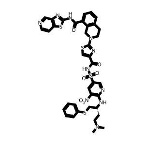 CN(C)CC[C@H](CSc1ccccc1)Nc1ncc(S(=O)(=O)NC(=O)c2csc(N3CCc4cccc(C(=O)Nc5nc6cnccc6s5)c4C3)n2)cc1[N+](=O)[O-]